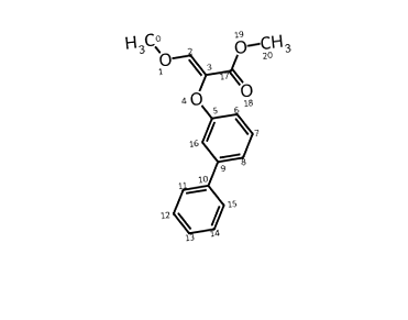 CO/C=C(\Oc1cccc(-c2ccccc2)c1)C(=O)OC